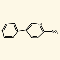 O=[N+]([O-])c1ccc(-c2cc[c]cc2)cn1